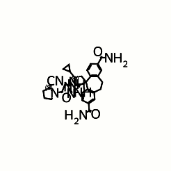 N#C[C@@H]1CCCN1C(=O)CN[C@H](CC1(c2nnn[nH]2)c2ccc(C(N)=O)cc2CCc2cc(C(N)=O)ccc21)C1CC1